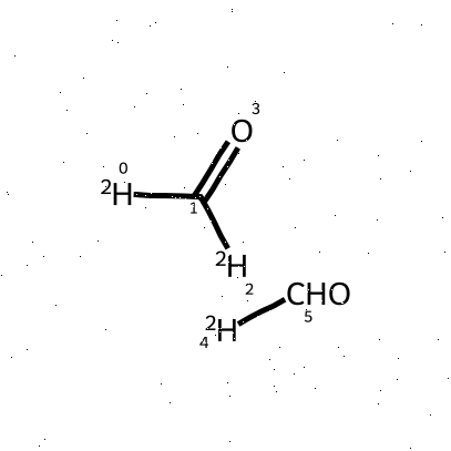 [2H]C([2H])=O.[2H]C=O